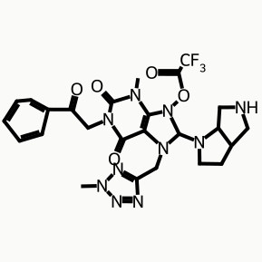 Cn1nnc(CN2c3c(n(C)c(=O)n(CC(=O)c4ccccc4)c3=O)N(OC(=O)C(F)(F)F)C2N2CCC3CNCC32)n1